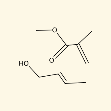 C=C(C)C(=O)OC.CC=CCO